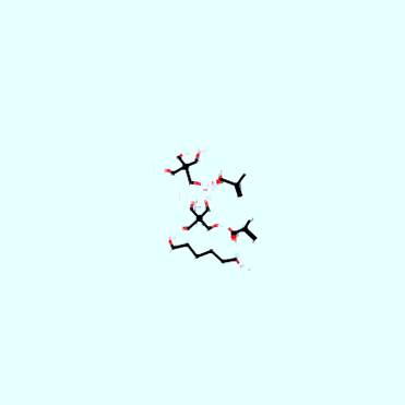 C=C(C)C(=O)O.C=C(C)C(=O)OCC(CO)(CO)CO.OCC(CO)(CO)CO.OCCCCCCO